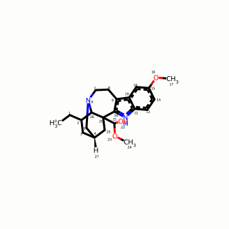 CCC1C[C@@H]2CN3CCc4c([nH]c5ccc(OC)cc45)C(C(O)OC)(C2)C13